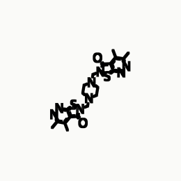 Cc1nnc2sn(CN3CCN(Cn4sc5nnc(C)c(C)c5c4=O)CC3)c(=O)c2c1C